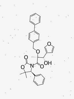 CC1(C)OC(=O)N(C(=O)[C@@](C)(OCc2ccc(-c3ccccc3)cc2)[C@@H](O)c2ccoc2)[C@H]1c1ccccc1